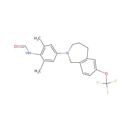 Cc1cc(N2CCCc3cc(OC(F)(F)F)ccc3C2)cc(C)c1NC=O